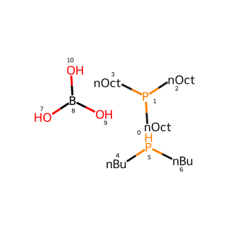 CCCCCCCCP(CCCCCCCC)CCCCCCCC.CCCCPCCCC.OB(O)O